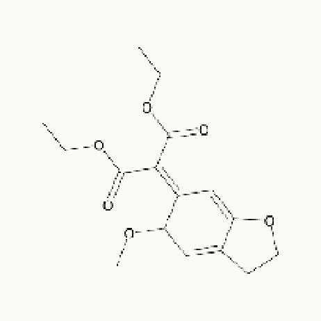 CCOC(=O)C(C(=O)OCC)=C1C=C2OCCC2=CC1OC